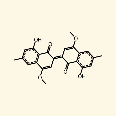 COC1=CC(=C2C=C(OC)c3cc(C)cc(O)c3C2=O)C(=O)c2c(O)cc(C)cc21